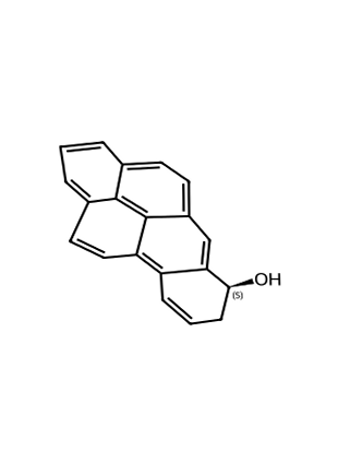 O[C@H]1CC=Cc2c1cc1ccc3cccc4ccc2c1c34